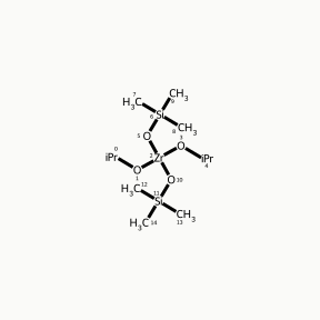 CC(C)[O][Zr]([O]C(C)C)([O][Si](C)(C)C)[O][Si](C)(C)C